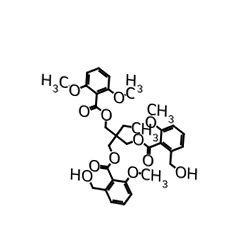 CCC(COC(=O)c1c(CO)cccc1OC)(COC(=O)c1c(CO)cccc1OC)COC(=O)c1c(OC)cccc1OC